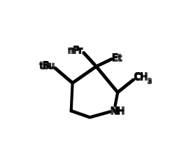 CCCC1(CC)C(C)NCCC1C(C)(C)C